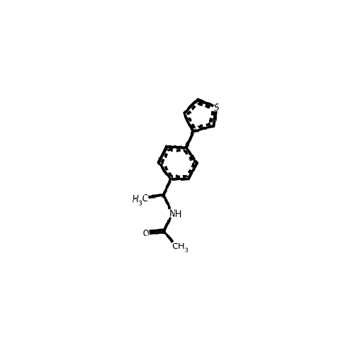 C[C](NC(C)=O)c1ccc(-c2ccsc2)cc1